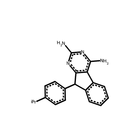 CC(C)c1ccc(C2c3ccccc3-c3c(N)nc(N)nc32)cc1